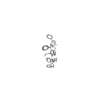 CCc1c2c(n(C)c1C(=O)NC(C)CO)CC(CC)N(CC(=O)c1ccccc1)C2=O